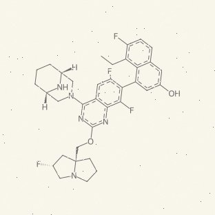 CCc1c(F)ccc2cc(O)cc(-c3c(F)cc4c(N5C[C@H]6CCC[C@@H](C5)N6)nc(OC[C@@]56CCCN5C[C@H](F)C6)nc4c3F)c12